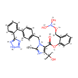 CCCc1nc(C(C)(C)O)c(C(=O)Oc2ccccc2CON(O)O)n1Cc1ccc(-c2ccccc2-c2nn[nH]n2)cc1